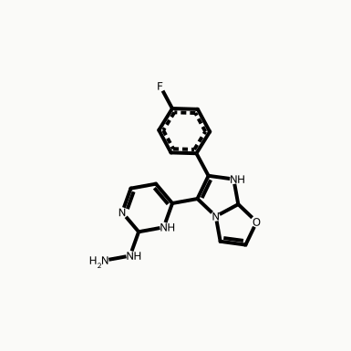 NNC1N=CC=C(C2=C(c3ccc(F)cc3)NC3OC=CN23)N1